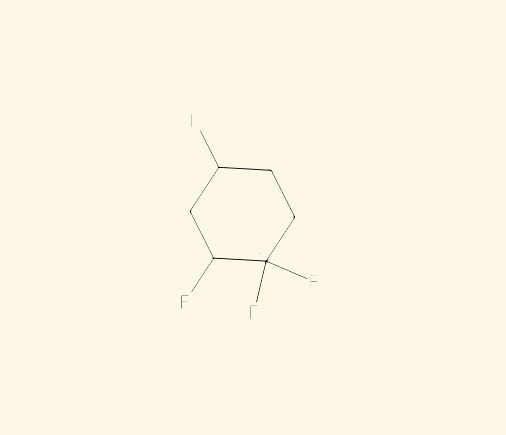 FC1CCC(F)(F)C(F)C1